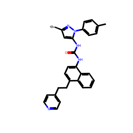 Cc1ccc(-n2nc(C(C)(C)C)cc2NC(=O)Nc2ccc(CCc3ccncc3)c3ccccc23)cc1